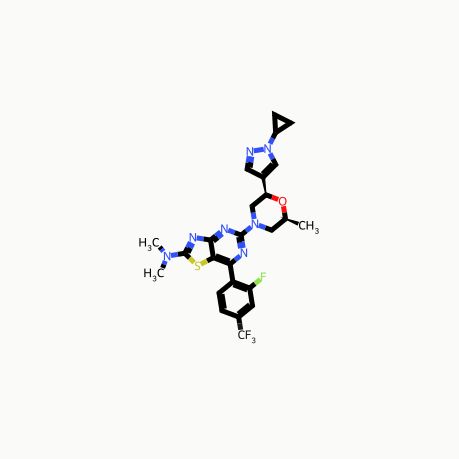 C[C@H]1CN(c2nc(-c3ccc(C(F)(F)F)cc3F)c3sc(N(C)C)nc3n2)C[C@@H](c2cnn(C3CC3)c2)O1